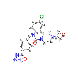 NNC(=O)c1ccc(CN(C(=O)N2CCN(C3COC3)CC2)c2ccc(Cl)cc2)cc1